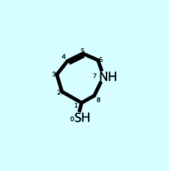 SC1CC/C=C\CNC1